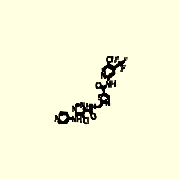 O=C(Nc1cc(C(F)(F)F)c(Cl)cn1)c1cnc(CNC(=O)c2ncnc(Nc3ccncc3)c2Cl)s1